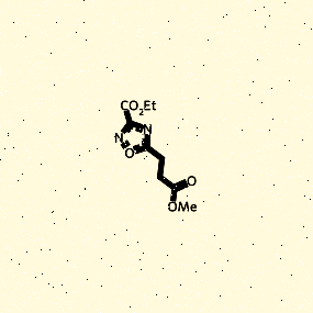 CCOC(=O)c1noc(CCC(=O)OC)n1